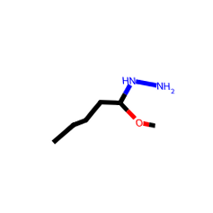 CCCCC(NN)OC